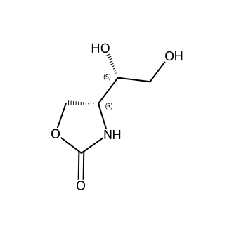 O=C1N[C@@H]([C@H](O)CO)CO1